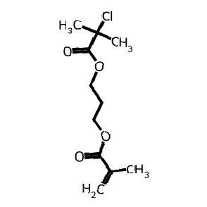 C=C(C)C(=O)OCCCOC(=O)C(C)(C)Cl